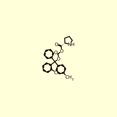 Cc1ccc(C(OC(=O)OC(=O)[C@@H]2CCCN2)(c2ccccc2)c2ccccc2Cl)cc1